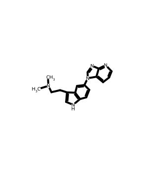 CN(C)CCc1c[nH]c2ccc(-n3cnc4ncccc43)cc12